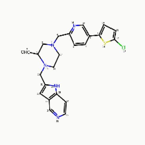 O=CC1CN(Cc2ccc(-c3ccc(Cl)s3)cn2)CCN1Cc1cc2cnccc2[nH]1